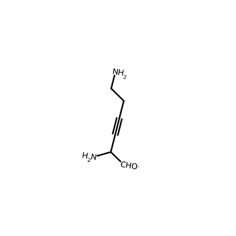 NCCC#CC(N)[C]=O